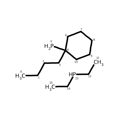 CCCCC1(P)CCCCC1.CCPCC